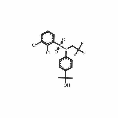 CC(C)(O)c1ccc(N(CC(F)(F)F)S(=O)(=O)c2cccc(Cl)c2Cl)cc1